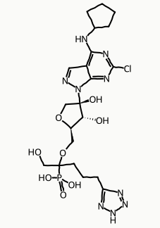 O=P(O)(O)C(CO)(CCCc1nn[nH]n1)OC[C@H]1OC[C@](O)(n2ncc3c(NC4CCCC4)nc(Cl)nc32)[C@@H]1O